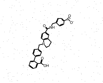 O=C(NCc1ccc([N+](=O)[O-])cc1)c1ccc2c(c1)CCCN2Cc1ccc(-c2ccccc2C(=O)O)cc1